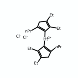 CCCC1=[C]([Hf+2][C]2=C(CCC)CC(CC)=C2CC)C(CC)=C(CC)C1.[Cl-].[Cl-]